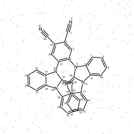 N#Cc1cc(-n2c3ccccc3n3c4ccccc4nc23)c(-n2c3ccccc3n3c4ccccc4nc23)cc1C#N